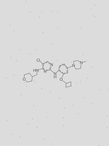 CN1CCN(c2ccc(Nc3ncc(Cl)c(NCC4CCOCC4)n3)c(OC3CCC3)c2)CC1